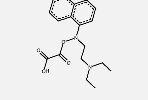 CCN(CC)CCN(OC(=O)C(=O)O)c1cccc2ccccc12